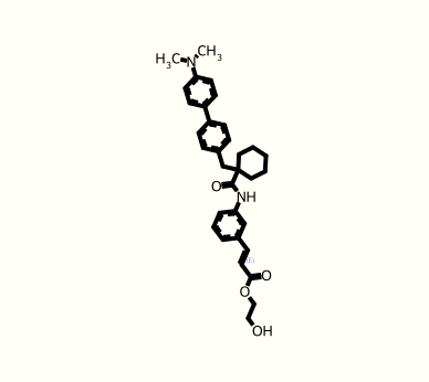 CN(C)c1ccc(-c2ccc(CC3(C(=O)Nc4cccc(/C=C/C(=O)OCCO)c4)CCCCC3)cc2)cc1